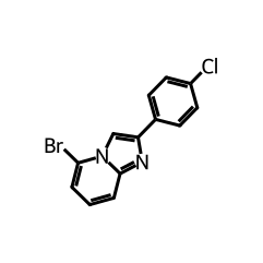 Clc1ccc(-c2cn3c(Br)cccc3n2)cc1